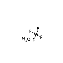 O.[F][W]([F])([F])[F]